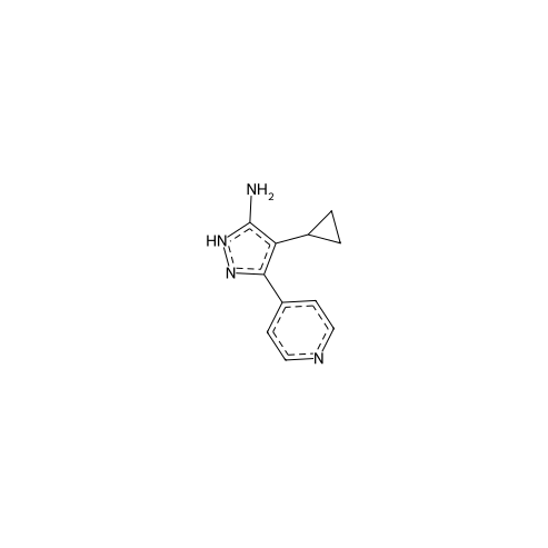 Nc1[nH]nc(-c2ccncc2)c1C1CC1